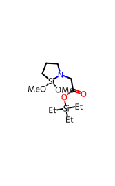 CC[Si](CC)(CC)OC(=O)CN1CCC[Si]1(OC)OC